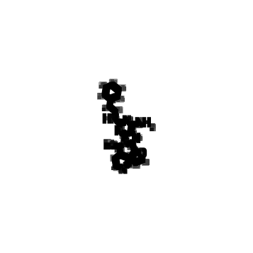 CCC(c1ccncc1)n1c(-c2ccco2)nc2c(N)nc(NCCc3ccccc3)nc21